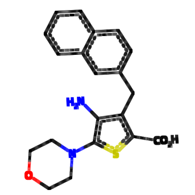 Nc1c(N2CCOCC2)sc(C(=O)O)c1Cc1ccc2ccccc2c1